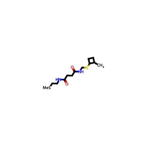 CSCCNC(=O)CCC(=O)NCSC1CCC1C